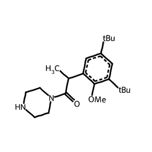 COc1c(C(C)C(=O)N2CCNCC2)cc(C(C)(C)C)cc1C(C)(C)C